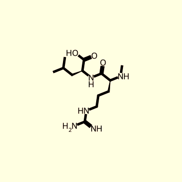 CN[C@@H](CCCNC(=N)N)C(=O)N[C@@H](CC(C)C)C(=O)O